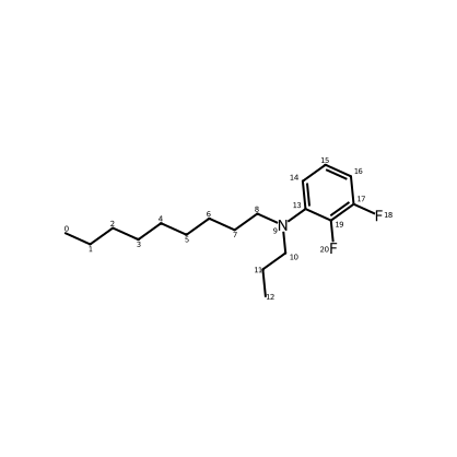 CCCCCCCCCN(CCC)c1cccc(F)c1F